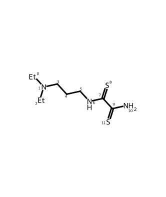 CCN(CC)CCCNC(=S)C(N)=S